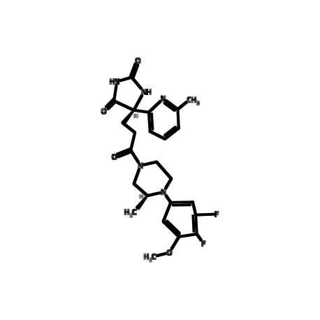 COc1cc(N2CCN(C(=O)CC[C@]3(c4cccc(C)n4)NC(=O)NC3=O)C[C@@H]2C)cc(F)c1F